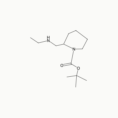 CCNCC1CCCCN1C(=O)OC(C)(C)C